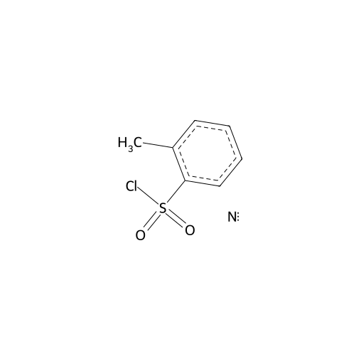 Cc1ccccc1S(=O)(=O)Cl.[N]